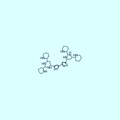 c1sc(C2CC(C3CCCCN3)NC(C3CCCCN3)N2)cc1-c1csc(C2CC(C3CCCCN3)NC(C3CCCCN3)N2)c1